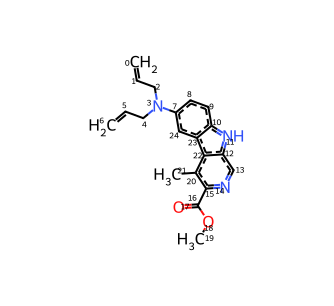 C=CCN(CC=C)c1ccc2[nH]c3cnc(C(=O)OC)c(C)c3c2c1